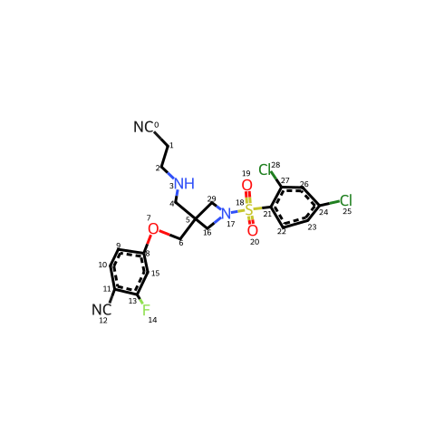 N#CCCNCC1(COc2ccc(C#N)c(F)c2)CN(S(=O)(=O)c2ccc(Cl)cc2Cl)C1